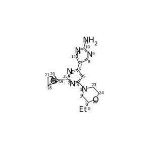 CC[C@H]1CN(c2cc(-c3cnc(N)nc3)nc(N3CC4CC3C4)n2)CCO1